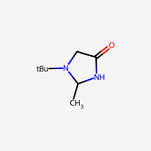 CC1NC(=O)CN1C(C)(C)C